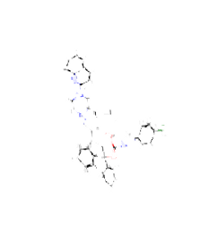 C[C@H]1CN(c2ccc3ccccc3n2)CCN1CCCCC1(OC(=O)NCc2ccc(F)cc2)c2ccccc2-c2ccccc21